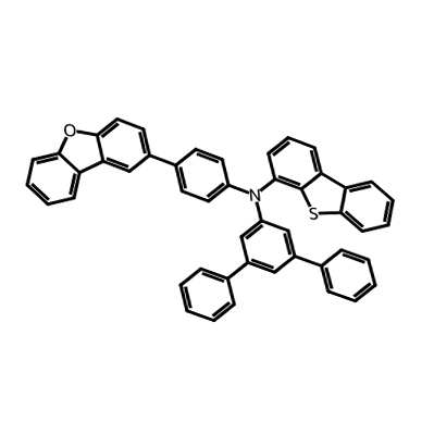 c1ccc(-c2cc(-c3ccccc3)cc(N(c3ccc(-c4ccc5oc6ccccc6c5c4)cc3)c3cccc4c3sc3ccccc34)c2)cc1